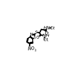 CCNC(=O)CC(Sc1nc2ccc([N+](=O)[O-])cc2s1)C(=O)NCC